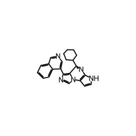 c1ccc2c(-c3ncn4c3c(C3CCCCC3)nc3[nH]ccc34)cncc2c1